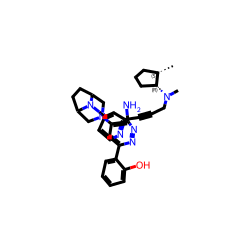 C[C@H]1CCC[C@H]1N(C)CC#Cc1cc(N2C3CCC2CN(c2cc(-c4ccccc4O)nnc2N)C3)ccn1